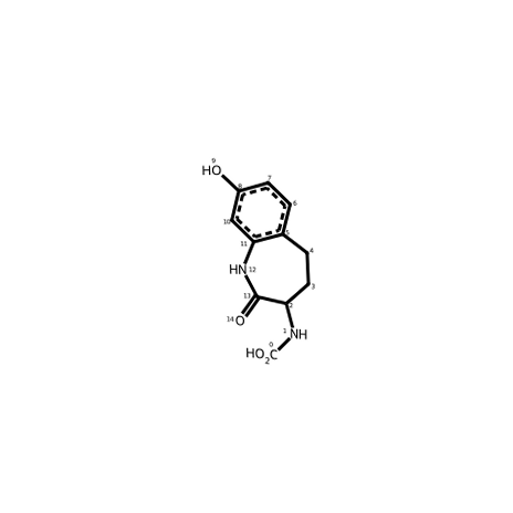 O=C(O)NC1CCc2ccc(O)cc2NC1=O